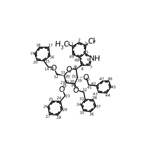 Cc1cc(Cl)c2[nH]cc([C@@H]3O[C@H](COCc4ccccc4)[C@@H](OCc4ccccc4)[C@H](OCc4ccccc4)[C@H]3OCc3ccccc3)c2c1